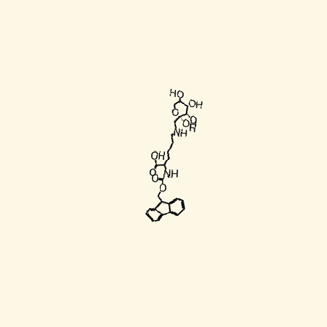 O=C(NC(CCCCNC[C@@]1(O)OCC(O)[C@@H](O)[C@H]1O)C(=O)O)OCC1c2ccccc2-c2ccccc21